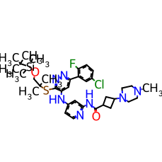 CN1CCN(C2CC(C(=O)Nc3cc(Nc4cc(-c5cc(Cl)ccc5F)nnc4SC(C)(C)CO[Si](C)(C)C(C)(C)C)ccn3)C2)CC1